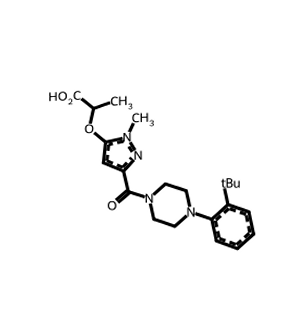 CC(Oc1cc(C(=O)N2CCN(c3ccccc3C(C)(C)C)CC2)nn1C)C(=O)O